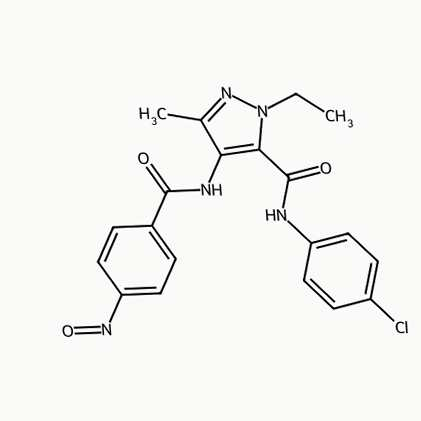 CCn1nc(C)c(NC(=O)c2ccc(N=O)cc2)c1C(=O)Nc1ccc(Cl)cc1